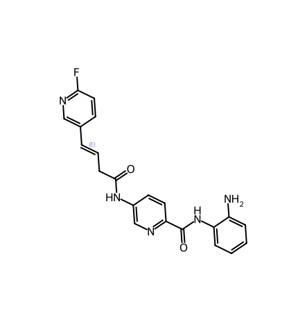 Nc1ccccc1NC(=O)c1ccc(NC(=O)C/C=C/c2ccc(F)nc2)cn1